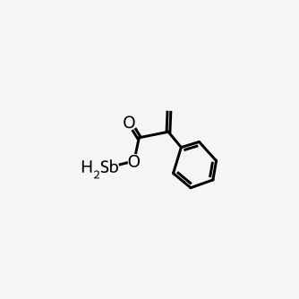 C=C(C(=O)[O][SbH2])c1ccccc1